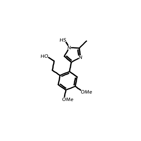 COc1cc(CCO)c(-c2cn(S)c(C)n2)cc1OC